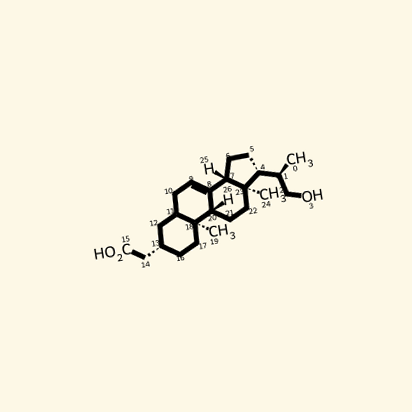 C[C@@H](CO)[C@H]1CC[C@H]2C3=CCC4C[C@@H](CC(=O)O)CC[C@]4(C)[C@H]3CC[C@]12C